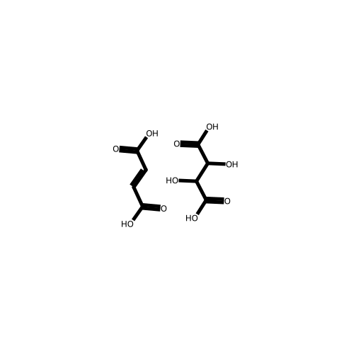 O=C(O)/C=C/C(=O)O.O=C(O)C(O)C(O)C(=O)O